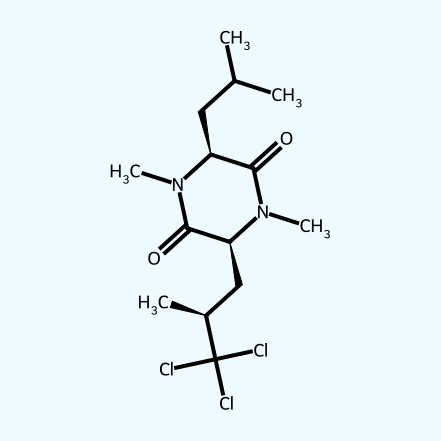 CC(C)C[C@H]1C(=O)N(C)[C@@H](C[C@H](C)C(Cl)(Cl)Cl)C(=O)N1C